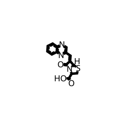 O=C(O)C1CS[C@@H]2C(=Cc3cnc4ccccc4n3)C(=O)N12